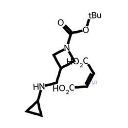 CC(C)(C)OC(=O)N1CC(CNC2CC2)C1.O=C(O)/C=C\C(=O)O